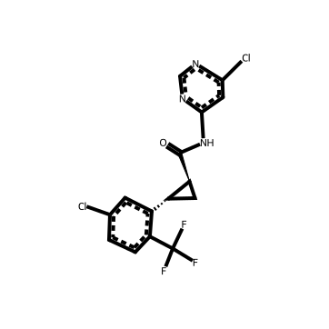 O=C(Nc1cc(Cl)ncn1)[C@H]1C[C@@H]1c1cc(Cl)ccc1C(F)(F)F